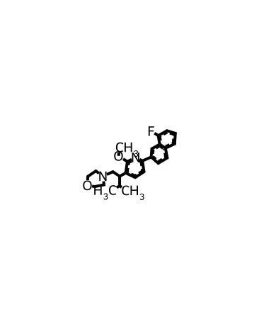 COc1nc(-c2ccc3cccc(F)c3c2)ccc1C(CN1CCOCC1)C(C)C